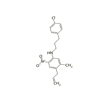 C=CCc1cc([N+](=O)[O-])c(NCCCc2ccc(Cl)cc2)cc1C